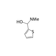 CNC(O)c1cccs1